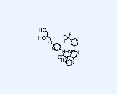 O=C(Nc1ccc(OC[C@@H](O)CO)nc1)N1c2nc(-c3cccc(C(F)(F)F)c3)ncc2N2CC[C@H]1C2